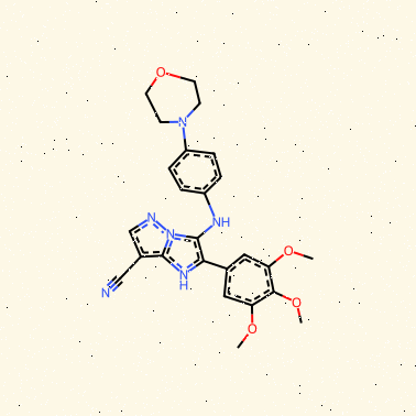 COc1cc(-c2[nH]c3c(C#N)cnn3c2Nc2ccc(N3CCOCC3)cc2)cc(OC)c1OC